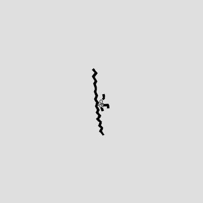 CCCCCCCCCCCCCCCCCCCC.CCO[SiH](CC)CC